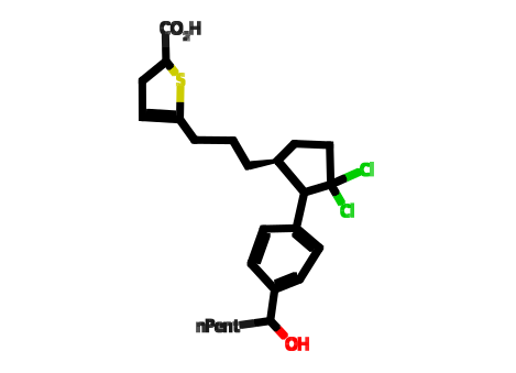 CCCCCC(O)c1ccc(C2[C@@H](CCCC3=CCC(C(=O)O)S3)CCC2(Cl)Cl)cc1